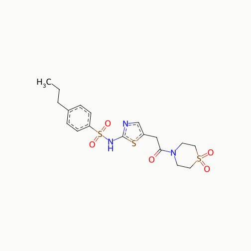 CCCc1ccc(S(=O)(=O)Nc2ncc(CC(=O)N3CCS(=O)(=O)CC3)s2)cc1